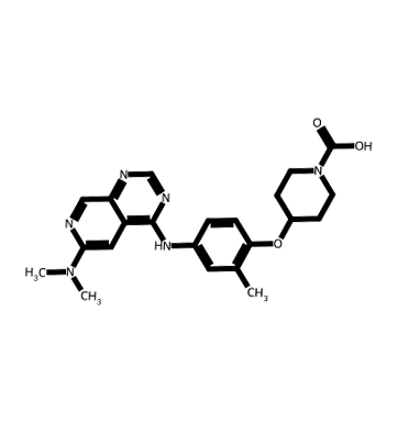 Cc1cc(Nc2ncnc3cnc(N(C)C)cc23)ccc1OC1CCN(C(=O)O)CC1